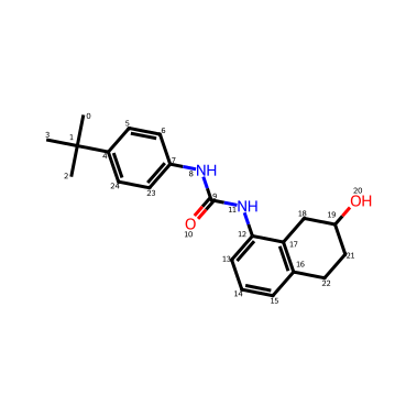 CC(C)(C)c1ccc(NC(=O)Nc2cccc3c2CC(O)CC3)cc1